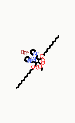 CCCCCCCCCCCCOC(=O)C1=C(C[n+]2ccccc2)NC(C[n+]2ccccc2)=C(C(=O)OCCCCCCCCCCCC)C1C(=O)OCC.[Br-].[Br-]